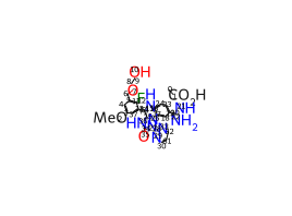 CC(=O)O.COc1cc(COCCO)c(F)c([C@H](Nc2ccc(C(=N)N)cc2)c2nn(-c3ncccn3)c(=O)[nH]2)c1